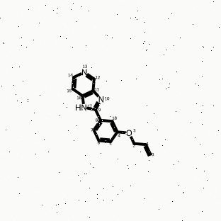 C=CCOc1cccc(-c2nc3cnccc3[nH]2)c1